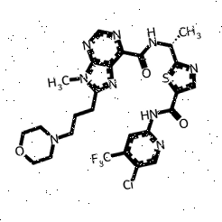 C[C@@H](NC(=O)c1ncnc2c1nc(CCCN1CCOCC1)n2C)c1ncc(C(=O)Nc2cc(C(F)(F)F)c(Cl)cn2)s1